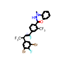 CN(NC(=O)c1ccc(/C(F)=C/C(c2cc(Br)c(F)c(Br)c2)C(F)(F)F)cc1C(F)(F)F)c1ccccc1